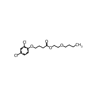 CCCCOCCOC(=O)CCCOc1ccc(Cl)cc1Cl